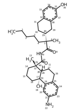 CCCCCC(C)(C(=O)NC(=O)[C@@]1(C)CCC[C@]2(C)c3cc(N)ccc3CC[C@@H]12)[C@@H]1CCc2ccc(O)cc2C1